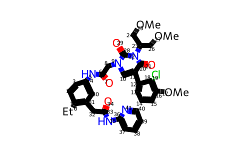 CCc1ccc(NC(=O)Cn2cc(-c3cccc(OC)c3Cl)c(=O)n(C(COC)COC)c2=O)cc1CC(=O)Nc1ccccn1